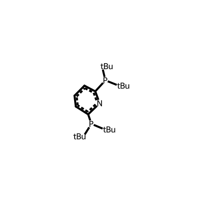 CC(C)(C)P(c1cccc(P(C(C)(C)C)C(C)(C)C)n1)C(C)(C)C